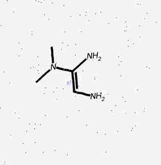 CN(C)/C(N)=C/N